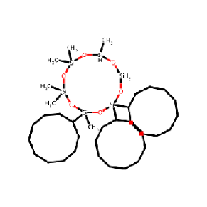 C[SiH]1O[SiH2]O[Si](C2CCCCCCCCC2)(C2CCCCCCCCC2)O[Si](C)(C2CCCCCCCCC2)O[Si](C)(C)O[Si](C)(C)O1